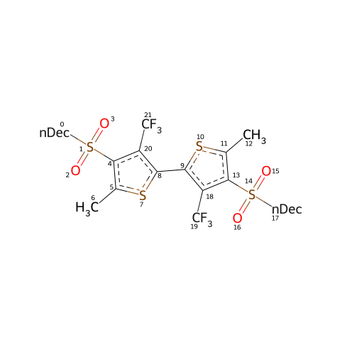 CCCCCCCCCCS(=O)(=O)c1c(C)sc(-c2sc(C)c(S(=O)(=O)CCCCCCCCCC)c2C(F)(F)F)c1C(F)(F)F